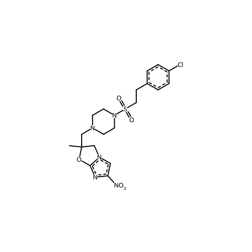 CC1(CN2CCN(S(=O)(=O)CCc3ccc(Cl)cc3)CC2)Cn2cc([N+](=O)[O-])nc2O1